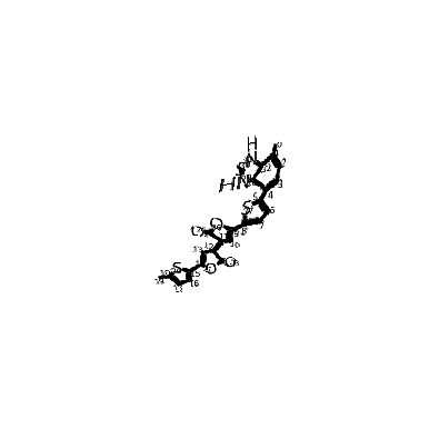 CC1=CC=C(c2ccc(C3=C/C(=C4/C=C(c5ccc(C)s5)OC4=O)C(=O)O3)s2)C2NSNC12